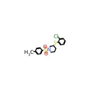 Cc1ccc(S(=O)(=O)N2CCCC(Sc3ccccc3Cl)C2)cc1